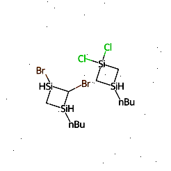 CCCC[SiH]1C[SiH](Br)C1Br.CCCC[SiH]1C[Si](Cl)(Cl)C1